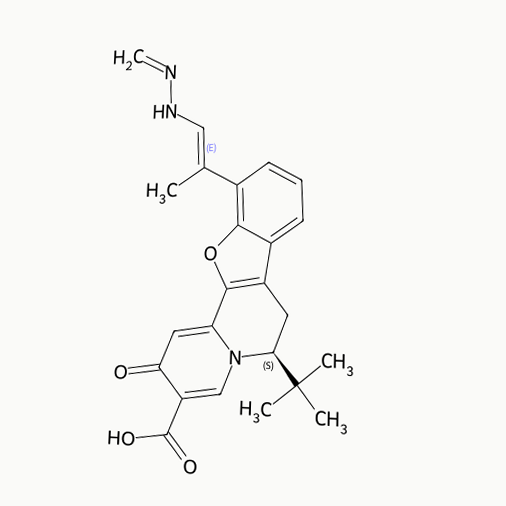 C=NN/C=C(\C)c1cccc2c3c(oc12)-c1cc(=O)c(C(=O)O)cn1[C@H](C(C)(C)C)C3